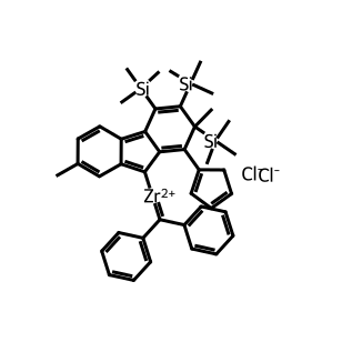 Cc1ccc2c(c1)=[C]([Zr+2]=[C](c1ccccc1)c1ccccc1)C1=C(C3=CC=CC3)C(C)([Si](C)(C)C)C([Si](C)(C)C)=C([Si](C)(C)C)C=21.[Cl-].[Cl-]